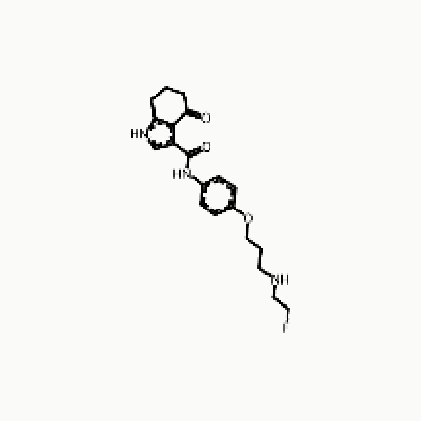 O=C(Nc1ccc(OCCCNCCF)cc1)c1c[nH]c2c1C(=O)CCC2